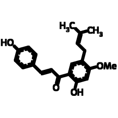 COc1cc(O)c(C(=O)/C=C/c2ccc(O)cc2)cc1CC=C(C)C